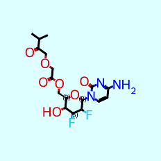 CC(C)C(=O)COCC(=O)OC[C@H]1O[C@@H](n2ccc(N)nc2=O)C(F)[C@@H](F)C1O